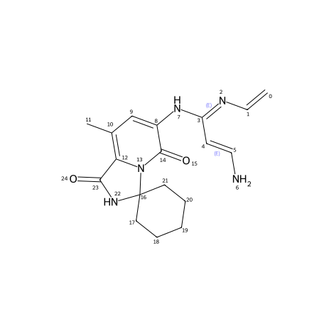 C=C/N=C(\C=C\N)Nc1cc(C)c2n(c1=O)C1(CCCCC1)NC2=O